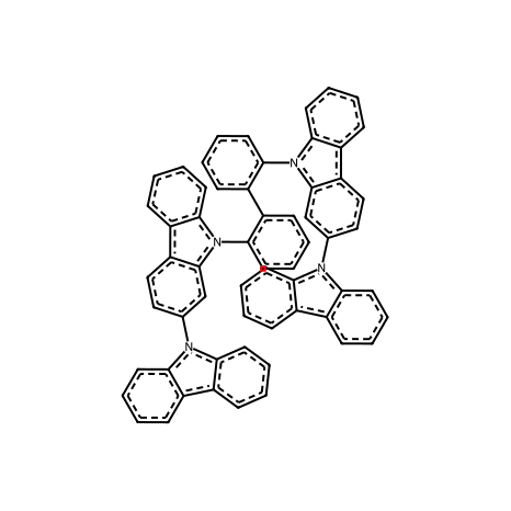 c1ccc(-n2c3ccccc3c3ccc(-n4c5ccccc5c5ccccc54)cc32)c(-c2ccccc2-n2c3ccccc3c3ccc(-n4c5ccccc5c5ccccc54)cc32)c1